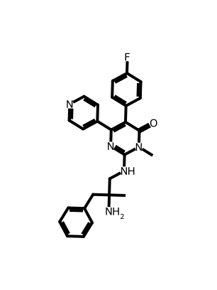 Cn1c(NCC(C)(N)Cc2ccccc2)nc(-c2ccncc2)c(-c2ccc(F)cc2)c1=O